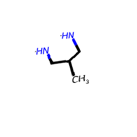 CC(C[NH])C[NH]